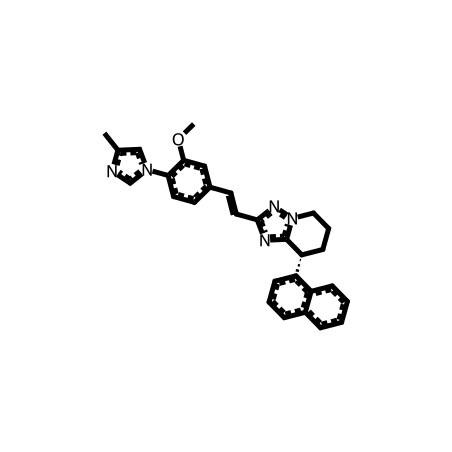 COc1cc(/C=C/c2nc3n(n2)CCC[C@@H]3c2cccc3ccccc23)ccc1-n1cnc(C)c1